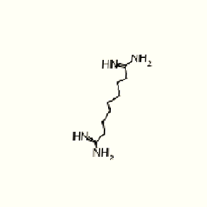 N=C(N)CCCCCCCC(=N)N